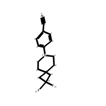 N#Cc1ccc(N2CCC3(CC2)CC(F)(F)C3)cc1